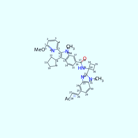 COc1cccc(-c2c(C3CCCC3)c3ccc(C(=O)NC4(c5nc6cc(/C=C/C(C)=O)ccc6n5C)CCC4)cc3n2C)n1